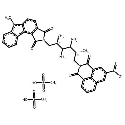 CS(=O)(=O)O.CS(=O)(=O)O.C[C@H](CN1C(=O)c2cccc3cc([N+](=O)[O-])cc(c23)C1=O)C(N)C(N)[C@H](C)CN1C(=O)c2ccc3c(c2C1=O)c1ccccc1n3C